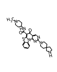 CN1CCC(NC(=O)c2c(=O)c3cnc(N4CCC5(CCNC5)CC4)nc3n3c2sc2ccccc23)CC1